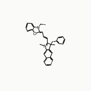 CCN1/C(=C/C=C/C2=[N+](C)c3cc4ccccc4cc3C2(C)Cc2ccccc2)Oc2ccccc21